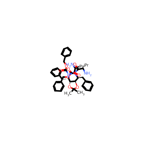 CC(C)[C@H](N)C(=O)N(C(=O)OCc1ccccc1)[C@@H](Cc1ccccc1)[C@H]1OC(C)(C)O[C@@H]1[C@H](Cc1ccccc1)N(C(=O)OCc1ccccc1)C(=O)[C@@H](N)C(C)C